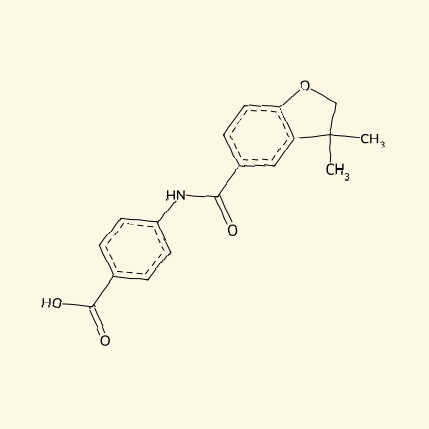 CC1(C)COc2ccc(C(=O)Nc3ccc(C(=O)O)cc3)cc21